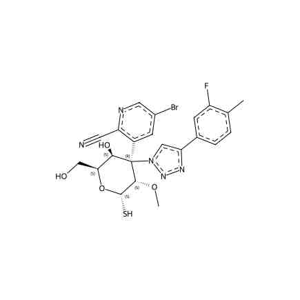 CO[C@@H]1[C@H](S)O[C@@H](CO)[C@@H](O)[C@@]1(c1cc(Br)cnc1C#N)n1cc(-c2ccc(C)c(F)c2)nn1